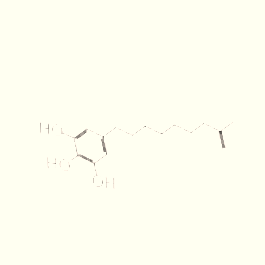 C=C(C)CCCCCCCc1cc(O)c(O)c(O)c1